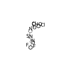 O=CC(CN1CCC(c2nc(C3=NO[C@@H](c4c(F)cccc4F)C3)cs2)CC1)Oc1ccc(Cl)cc1Cl